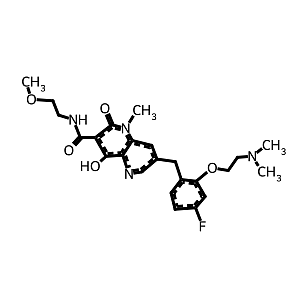 COCCNC(=O)c1c(O)c2ncc(Cc3ccc(F)cc3OCCN(C)C)cc2n(C)c1=O